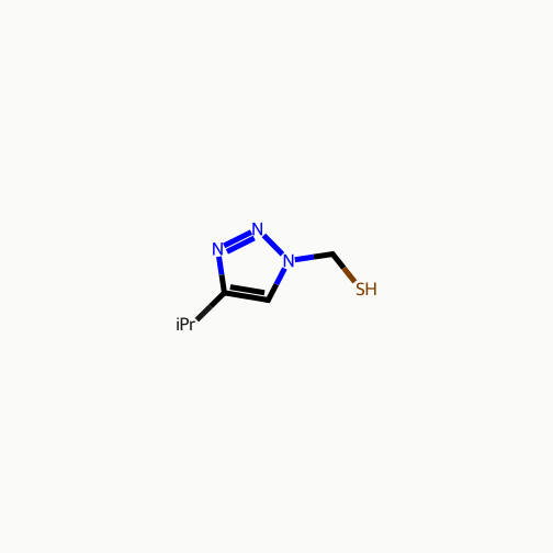 CC(C)c1cn(CS)nn1